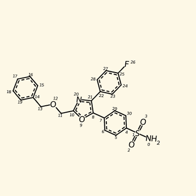 NS(=O)(=O)c1ccc(-c2oc(COCc3ccccc3)nc2-c2ccc(F)cc2)cc1